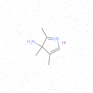 CC1=CN=C(C)C1(C)N.I